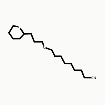 N#CCCCCCCCCOCCCC1CCCCO1